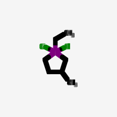 CCP1(Cl)(Cl)CCC(C)C1